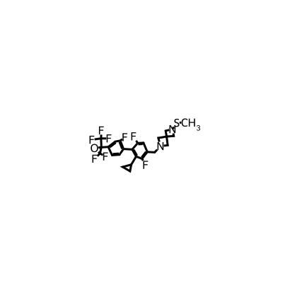 CSN1CC2(CN(Cc3cc(F)c(-c4ccc(C5(C(F)(F)F)OC5(F)F)cc4F)c(C4CC4)c3F)C2)C1